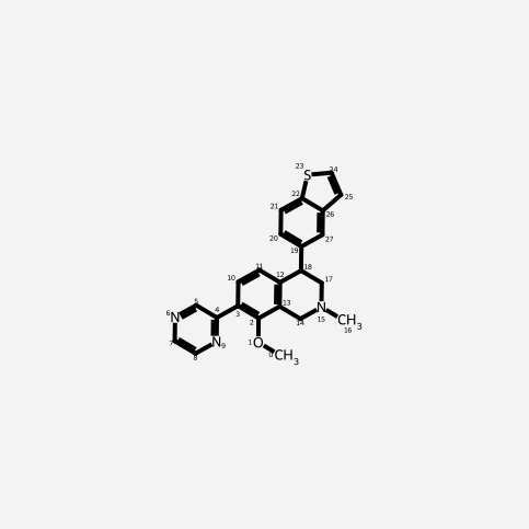 COc1c(-c2cnccn2)ccc2c1CN(C)CC2c1ccc2sccc2c1